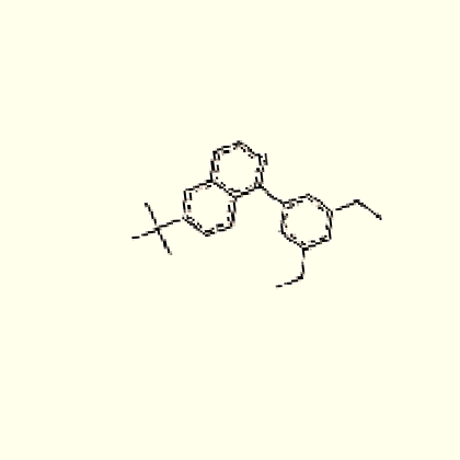 CCc1cc(CC)cc(-c2nccc3cc(C(C)(C)C)ccc23)c1